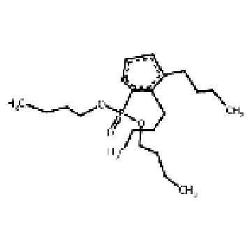 CCCCOP(=O)(OCCCC)c1cccc(CCCC)c1CCCC